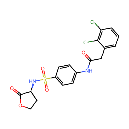 O=C(Cc1cccc(Cl)c1Cl)Nc1ccc(S(=O)(=O)N[C@H]2CCOC2=O)cc1